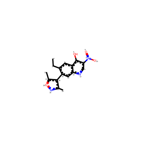 CCc1cc2c(O)c([N+](=O)[O-])cnc2cc1-c1c(C)noc1C